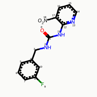 O=C(NCc1cccc(F)c1)Nc1ncccc1[N+](=O)[O-]